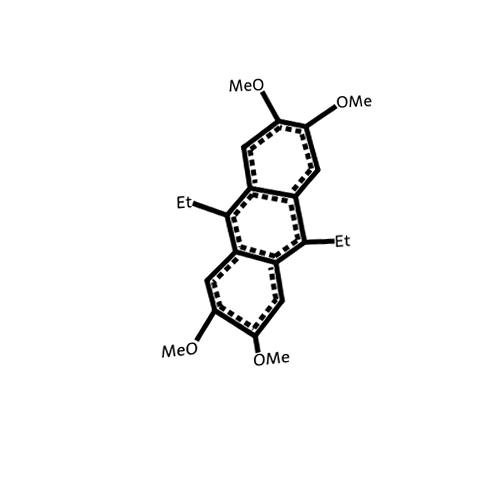 CCc1c2cc(OC)c(OC)cc2c(CC)c2cc(OC)c(OC)cc12